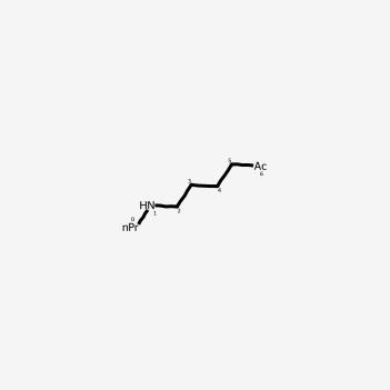 CCCNCCCCC(C)=O